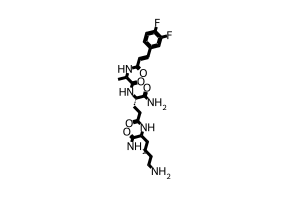 CC(NC(=O)/C=C/c1ccc(F)c(F)c1)C(=O)N[C@@H](CCC(=O)NC(CCCCN)C(N)=O)C(N)=O